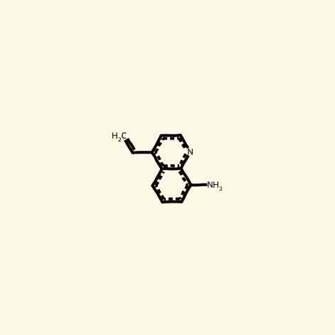 C=Cc1ccnc2c(N)cccc12